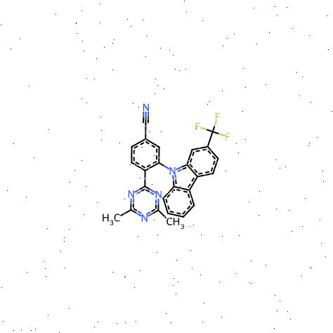 Cc1nc(C)nc(-c2ccc(C#N)cc2-n2c3ccccc3c3ccc(C(F)(F)F)cc32)n1